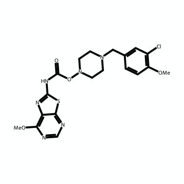 COc1ccc(CN2CCN(OC(=O)Nc3nc4c(OC)ncnc4s3)CC2)cc1Cl